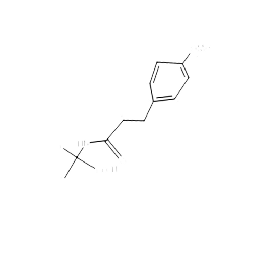 CCC(C)(NC(=O)CCc1ccc(OC)cc1)C(=O)O